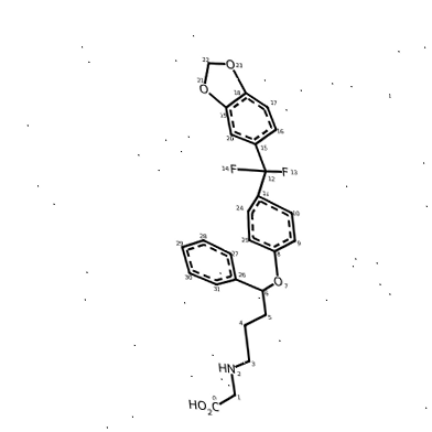 O=C(O)CNCCCC(Oc1ccc(C(F)(F)c2ccc3c(c2)OCO3)cc1)c1ccccc1